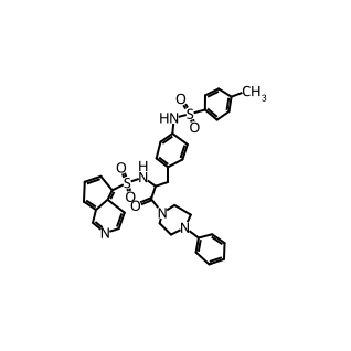 Cc1ccc(S(=O)(=O)Nc2ccc(CC(NS(=O)(=O)c3cccc4cnccc34)C(=O)N3CCN(c4ccccc4)CC3)cc2)cc1